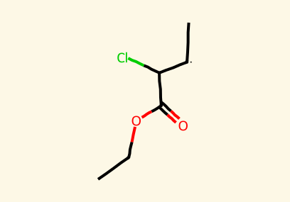 C[CH]C(Cl)C(=O)OCC